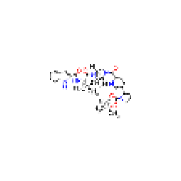 CC(C)(C)OC(=O)n1cccc1-c1ccc(C(=O)N2C[C@@H]3C[C@H]2CN3C(=O)[C@@H](NC(=O)c2cc3ccccc3[nH]2)C(C)(C)C)nc1